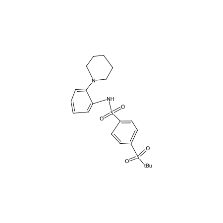 CC(C)(C)S(=O)(=O)c1ccc(S(=O)(=O)Nc2ccccc2N2CCCCC2)cc1